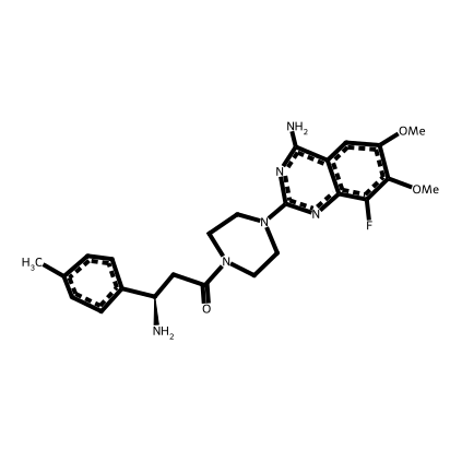 COc1cc2c(N)nc(N3CCN(C(=O)C[C@@H](N)c4ccc(C)cc4)CC3)nc2c(F)c1OC